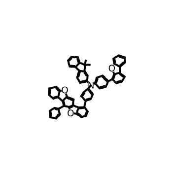 CC1(C)c2ccccc2-c2ccc(N(c3ccc(-c4cccc5c4oc4ccccc45)cc3)c3ccc(-c4cccc5oc6c(-c7ccccc7)c7c(cc6c45)oc4ccccc47)cc3)cc21